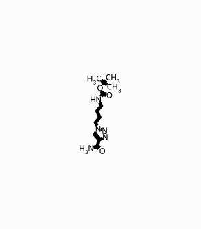 CC(C)(C)OC(=O)NCCCCn1cc(C(N)=O)nn1